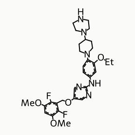 CCOc1cc(Nc2ncc(OCc3c(F)c(OC)cc(OC)c3F)cn2)ccc1N1CCC(N2CCNCC2)CC1